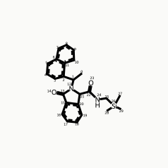 CC(c1cccc2ccccc12)N1C(=O)c2ccccc2C1C(=O)NC[Si](C)(C)C